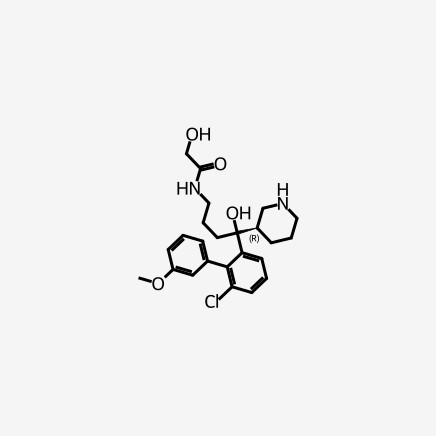 COc1cccc(-c2c(Cl)cccc2C(O)(CCCNC(=O)CO)[C@@H]2CCCNC2)c1